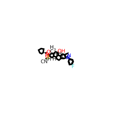 C[C@]12Cc3cnn(-c4ccc(F)cc4)c3C=C1CC[C@@H]1[C@@H]2[C@@H](O)C[C@@]2(C)[C@H]1C[C@H]1O[C@@H](C3CCCCC3)O[C@]12C(=O)SCC#N